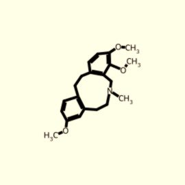 COc1ccc2c(c1)CCN(C)Cc1c(ccc(OC)c1OC)CC2